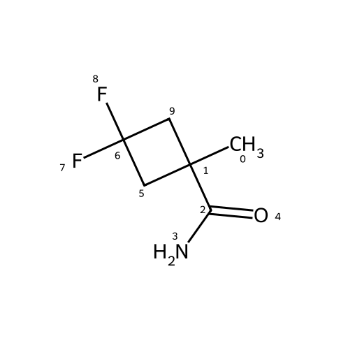 CC1(C(N)=O)CC(F)(F)C1